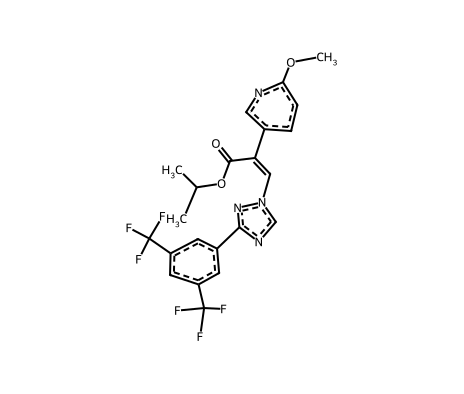 COc1ccc(/C(=C/n2cnc(-c3cc(C(F)(F)F)cc(C(F)(F)F)c3)n2)C(=O)OC(C)C)cn1